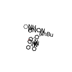 CCCCc1nc2ccc(NCC(=O)NC3CCCCC3)cc2n1Cc1ccc(-c2ccccc2-c2nnnn2C(c2ccccc2)(c2ccccc2)c2ccccc2)cc1